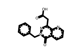 O=C(O)Cc1nn(Cc2ccccc2)c(=O)c2cccnc12